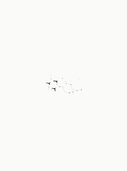 CC(=O)OC(CC1CO1)C(O)C(CC1CO1)n1c(=O)[nH]c(=O)[nH]c1=O